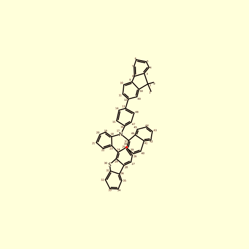 CC1(C)c2ccccc2-c2ccc(-c3ccc(N(c4ccccc4-c4cccc5c4sc4ccccc45)c4cccc5ccccc45)cc3)cc21